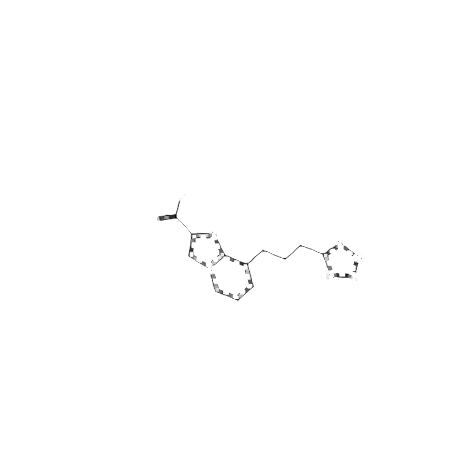 O=C(O)c1cn2cccc(CCCc3nnn[nH]3)c2n1